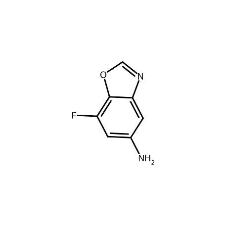 Nc1cc(F)c2ocnc2c1